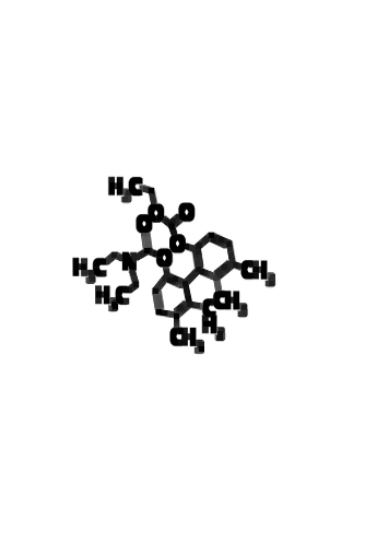 CCOC(=O)Oc1ccc(C)c(C)c1-c1c(OC(=O)N(CC)CC)ccc(C)c1C